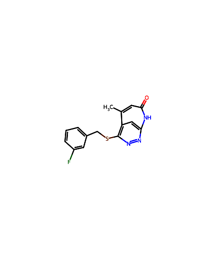 CC1=CC(=O)Nc2cc1c(SCc1cccc(F)c1)nn2